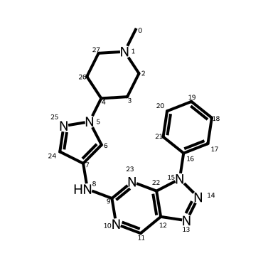 CN1CCC(n2cc(Nc3ncc4nnn(-c5ccccc5)c4n3)cn2)CC1